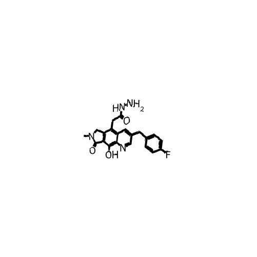 CN1Cc2c(c(O)c3ncc(Cc4ccc(F)cc4)cc3c2CC(=O)NN)C1=O